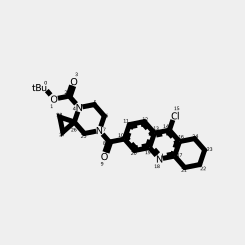 CC(C)(C)OC(=O)N1CCN(C(=O)c2ccc3c(Cl)c4c(nc3c2)CCCC4)CC12CC2